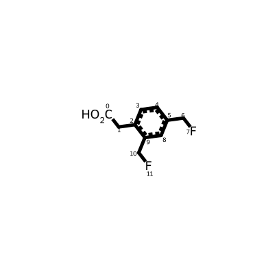 O=C(O)Cc1ccc(CF)cc1CF